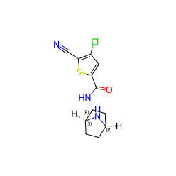 N#Cc1sc(C(=O)N[C@@H]2C[C@H]3CC[C@@H]2N3)cc1Cl